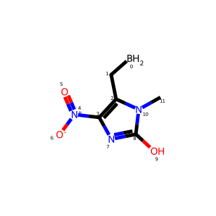 BCc1c([N+](=O)[O-])nc(O)n1C